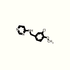 COc1ccc(CNc2ccncn2)cc1Cl